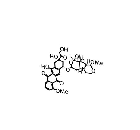 COc1cccc2c1C(=O)c1cc3c(c(O)c1C2=O)C[C@@](O)(C(=O)CO)C[C@@H]3O[C@H]1C[C@H]2[C@H](O[C@@H]3[C@@H](OC)OCCN32)[C@@](C)(O)O1